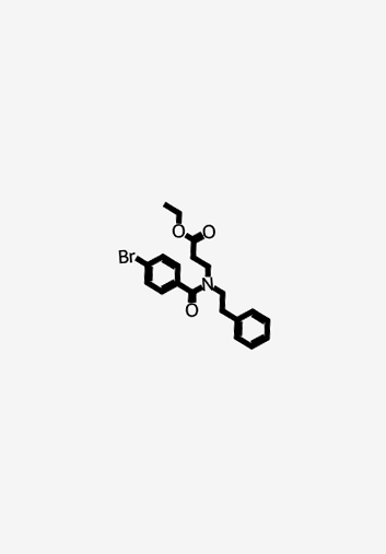 CCOC(=O)CCN(CCc1ccccc1)C(=O)c1ccc(Br)cc1